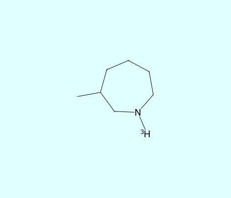 [3H]N1CCCCC(C)C1